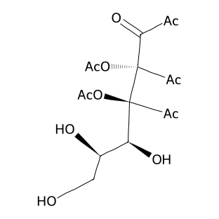 CC(=O)O[C@@](C(C)=O)(C(=O)C(C)=O)[C@](OC(C)=O)(C(C)=O)[C@@H](O)[C@H](O)CO